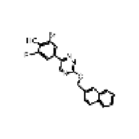 Oc1c(Br)cc(-c2cnc(OCc3ccc4ccccc4c3)nn2)cc1Br